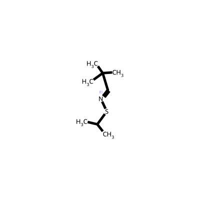 CC(C)S/N=C/C(C)(C)C